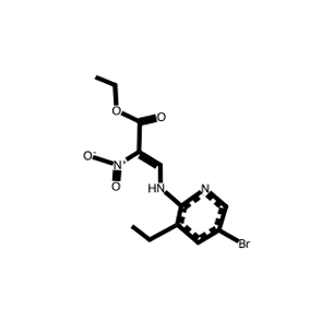 CCOC(=O)C(=CNc1ncc(Br)cc1CC)[N+](=O)[O-]